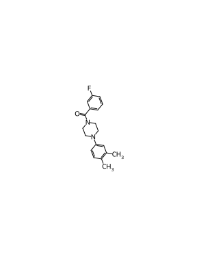 Cc1ccc(N2CCN(C(=O)c3cccc(F)c3)CC2)cc1C